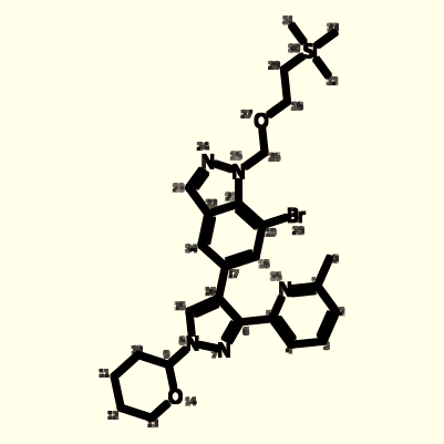 Cc1cccc(-c2nn(C3CCCCO3)cc2-c2cc(Br)c3c(cnn3COCC[Si](C)(C)C)c2)n1